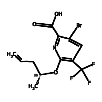 C=CC[C@@H](C)Oc1nc(C(=O)O)c(Br)cc1C(F)(F)F